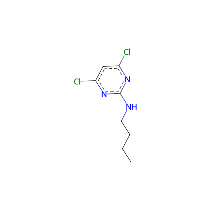 CCCCNc1nc(Cl)cc(Cl)n1